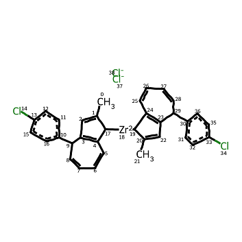 CC1=CC2=C(C=CC=CC2c2ccc(Cl)cc2)[CH]1[Zr+2][CH]1C(C)=CC2=C1C=CC=CC2c1ccc(Cl)cc1.[Cl-].[Cl-]